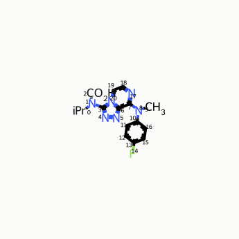 CC(C)N(C(=O)O)c1nnc2c(N(C)c3ccc(F)cc3)nccn12